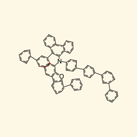 c1ccc(-c2cccc(-c3ccc(-c4ccc(N(c5c(-c6cccc(-c7ccccc7)c6)c6ccccc6c6ccccc56)c5cccc6c5oc5c(-c7ccccc7)cccc56)cc4)cc3)c2)cc1